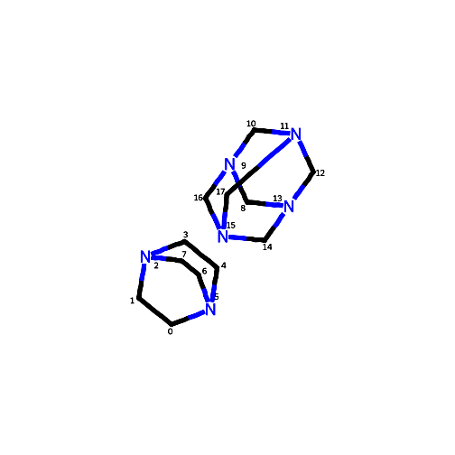 C1CN2CCN1CC2.C1N2CN3CN1CN(C2)C3